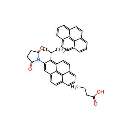 CCC(C(=O)O)c1c(N2C(=O)CCC2=O)cc2ccc3cccc4ccc1c2c34.CCCC(=O)O.c1cc2ccc3cccc4ccc(c1)c2c34